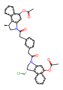 CC(=O)Oc1cc2c(c3ccccc13)[C@H](CCl)CN2C(=O)Cc1cccc(CC(=O)N2C[C@@H](C)c3c2cc(OC(C)=O)c2ccccc32)c1